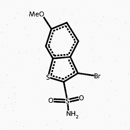 COc1ccc2c(Br)c(S(N)(=O)=O)sc2c1